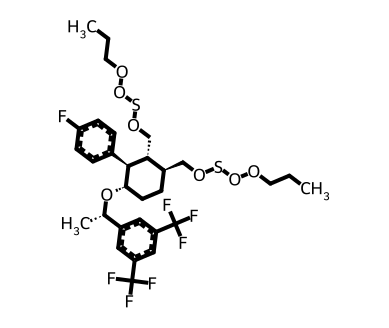 CCCOOSOC[C@H]1CC[C@H](O[C@@H](C)c2cc(C(F)(F)F)cc(C(F)(F)F)c2)[C@@H](c2ccc(F)cc2)[C@@H]1COSOOCCC